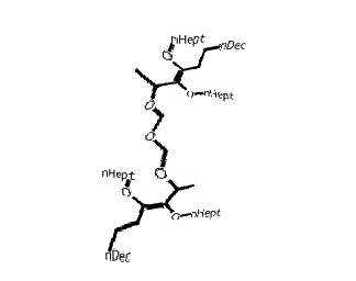 CCCCCCCCCCCCC(OCCCCCCC)=C(OCCCCCCC)C(C)OCOCOC(C)C(OCCCCCCC)=C(CCCCCCCCCCCC)OCCCCCCC